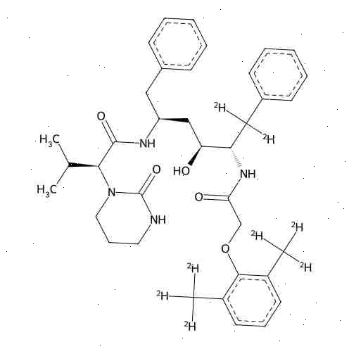 [2H]C([2H])([2H])c1cccc(C([2H])([2H])[2H])c1OCC(=O)N[C@H]([C@@H](O)C[C@H](Cc1ccccc1)NC(=O)[C@H](C(C)C)N1CCCNC1=O)C([2H])([2H])c1ccccc1